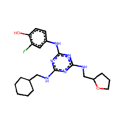 Oc1ccc(Nc2nc(NCC3CCCCC3)nc(NCC3CCCO3)n2)cc1F